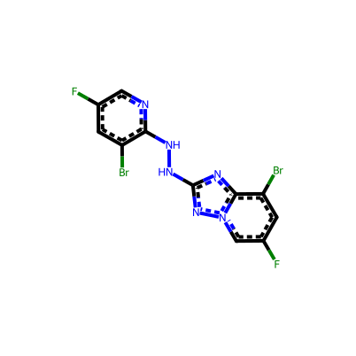 Fc1cnc(NNc2nc3c(Br)cc(F)cn3n2)c(Br)c1